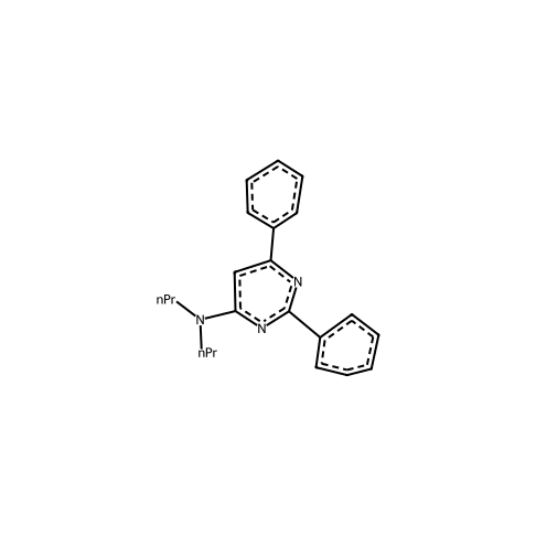 CCCN(CCC)c1cc(-c2ccccc2)nc(-c2ccccc2)n1